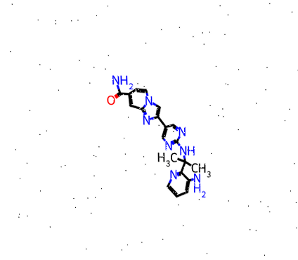 CC(C)(Nc1ncc(-c2cn3ccc(C(N)=O)cc3n2)cn1)c1ncccc1N